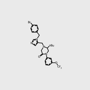 CCCCC1CN(c2cccc(OC(F)(F)F)c2)C(=O)CN1Cc1cncn1Cc1ccc(Br)cc1